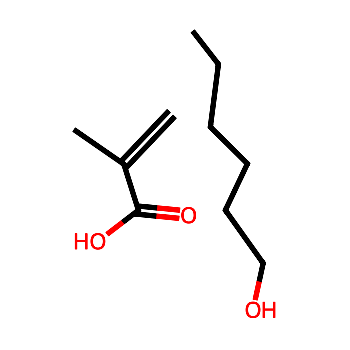 C=C(C)C(=O)O.CCCCCCO